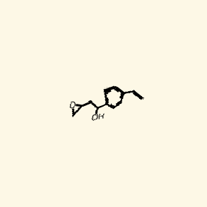 C=Cc1ccc(C(O)CC2CO2)cc1